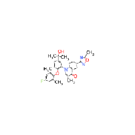 Cc1nc(-c2ccc3c(c2)c(=O)c(C)cn3-c2cc(C(C)(C)O)ccc2Oc2c(C)cc(F)cc2C)no1